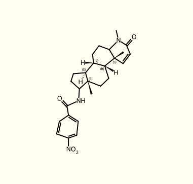 CN1C(=O)C=C[C@@]2(C)C1CC[C@@H]1[C@H]2CC[C@]2(C)C(NC(=O)c3ccc([N+](=O)[O-])cc3)CC[C@@H]12